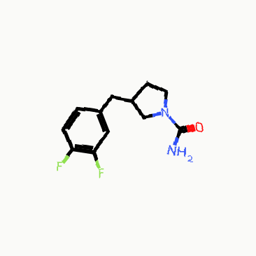 NC(=O)N1C[CH]C(Cc2ccc(F)c(F)c2)C1